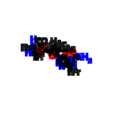 CCCc1nn(C(N)=O)c2c(=O)n(C3OC(COC(C(=O)O)P(=O)(NC(C)C)NC(C)C)C(OC(C)=O)C3OC(C)=O)nnc12